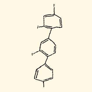 Cc1ccc(-c2ccc(-c3ccc(F)cc3F)cc2F)cc1